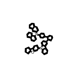 c1ccc(-c2ccc3c(c2)c2ccccc2n3-c2ccc3c(c2)oc2ccccc23)c(-c2ccc(N(c3ccc4ccccc4c3)c3cccc4ccccc34)cc2)c1